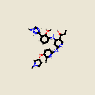 CCC(=O)c1cnc(Nc2ccc(O[C@@H]3CCN(C)C3)c(C)n2)cc1Nc1cccc(-c2ncn(C)n2)c1OC